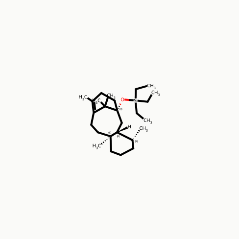 CC[Si](CC)(CC)O[C@]12CCC(C)=C(CC[C@]3(C)CCC[C@@H](C)[C@H]3C1)C2(C)C